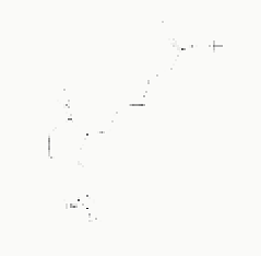 O=C(O)CCCCCC1C(=O)CCC1C[N+](=O)[O-]